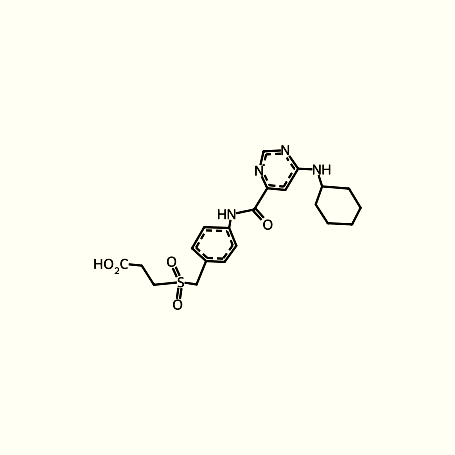 O=C(O)CCS(=O)(=O)Cc1ccc(NC(=O)c2cc(NC3CCCCC3)ncn2)cc1